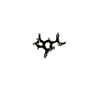 COC(=O)c1cc2c(cnn2C)c(=O)[nH]1